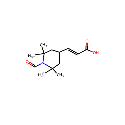 CC1(C)CC(C=CC(=O)O)CC(C)(C)N1C=O